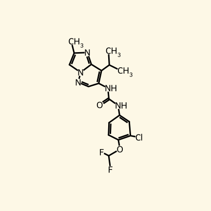 Cc1cn2ncc(NC(=O)Nc3ccc(OC(F)F)c(Cl)c3)c(C(C)C)c2n1